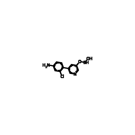 Nc1ccc(-c2cncc(OBO)c2)c(Cl)c1